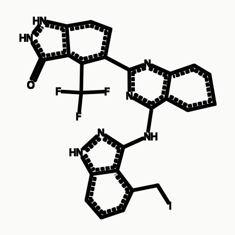 O=c1[nH][nH]c2ccc(-c3nc(Nc4n[nH]c5cccc(CI)c45)c4ccccc4n3)c(C(F)(F)F)c12